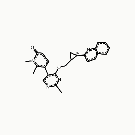 Cc1ncc(-c2ccc(=O)n(C)c2C)c(OCC2C[C@H]2c2ccc3ccccc3n2)n1